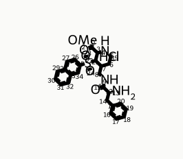 COC(=O)C1NCCC(CNC(=O)[C@@H](N)Cc2ccccc2)C1S(=O)(=O)c1ccc2ccccc2c1.Cl